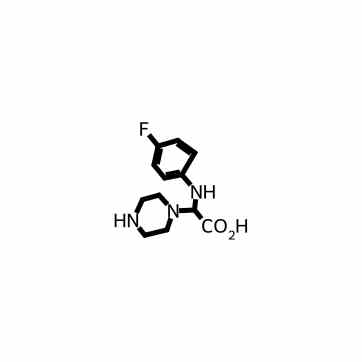 O=C(O)C(Nc1ccc(F)cc1)N1CCNCC1